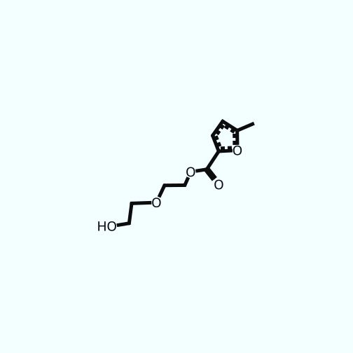 Cc1ccc(C(=O)OCCOCCO)o1